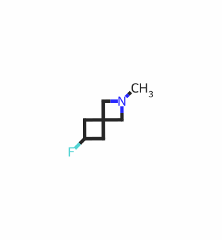 CN1CC2(CC(F)C2)C1